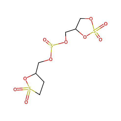 O=S(OCC1CCS(=O)(=O)O1)OCC1COS(=O)(=O)O1